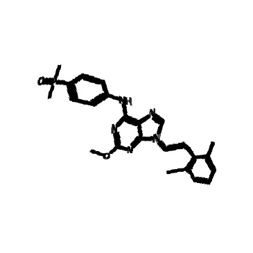 COc1nc(Nc2ccc(P(C)(C)=O)cc2)c2ncn(/C=C/c3c(C)cccc3C)c2n1